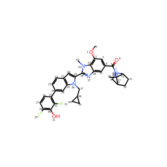 COc1cc(C(=O)N2CC3CCC2[C@@H]3C)cc2nc(-c3cc4ccc(-c5ccc(F)c(O)c5F)cc4n3CC3CC3)n(C)c12